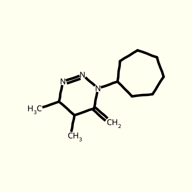 C=C1C(C)C(C)N=NN1C1CCCCCC1